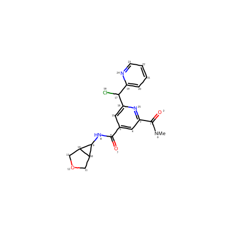 CNC(=O)c1cc(C(=O)NC2C3COCC32)cc(C(Cl)c2ccccn2)n1